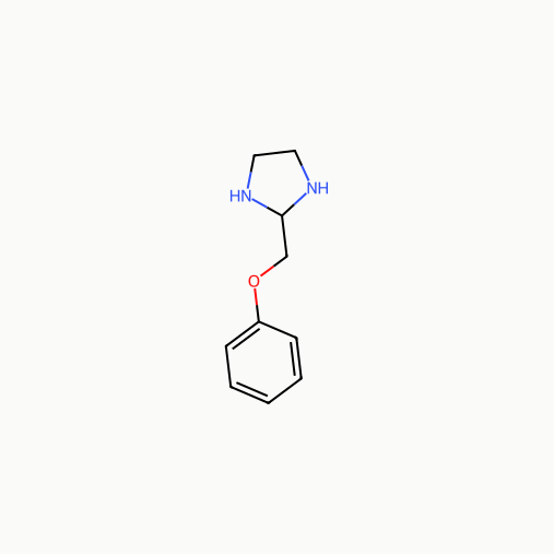 c1ccc(OCC2NCCN2)cc1